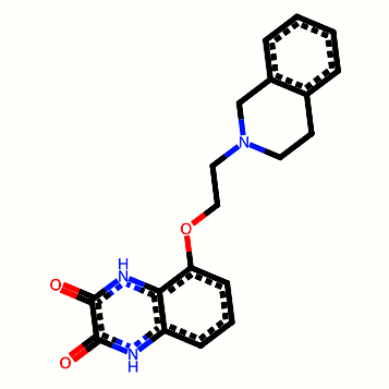 O=c1[nH]c2cccc(OCCN3CCc4ccccc4C3)c2[nH]c1=O